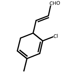 CC1=CCC(/C=C/C=O)C(Cl)=C1